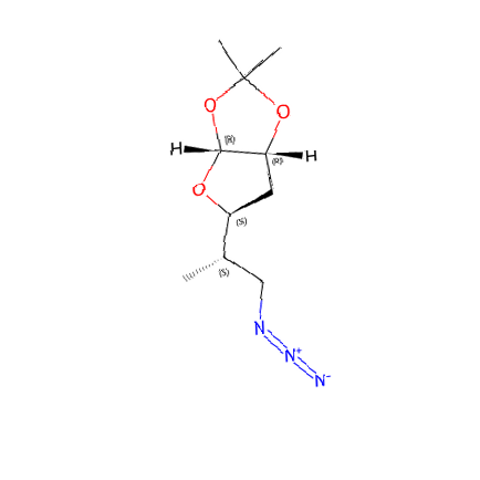 C[C@@H](CN=[N+]=[N-])[C@@H]1C[C@H]2OC(C)(C)O[C@H]2O1